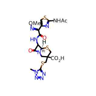 CON=C(C(=O)NC1C(=O)N2CC(CSc3nnnn3C)(C(=O)O)CS[C@H]12)c1csc(NC(C)=O)n1